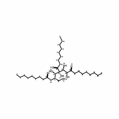 CCCCCCCCC(=O)O[C@H](CO)[C@@H](O)[C@@](O)(C(=O)CCCCCCCC)[C@@H](O)C(O)C(=O)CCCCCCCC